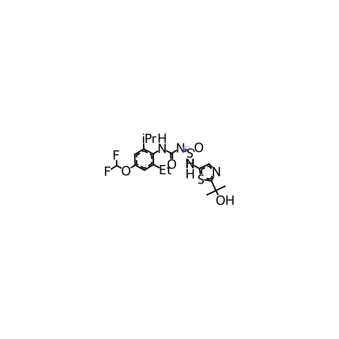 CCc1cc(OC(F)F)cc(C(C)C)c1NC(=O)/N=[SH](=O)\Nc1cnc(C(C)(C)O)s1